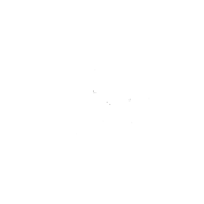 O=C1CC(CCl)CN1C(F)(F)F